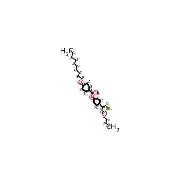 CCCCCCCCCCOc1ccc(C(=O)Oc2ccc(C(COCCCC)C(F)F)cc2)cc1